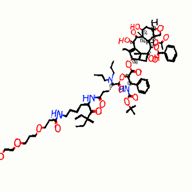 CCCN(CCC)[C@@H](CCC(=O)NC(CCCCNC(=O)CCOCCCOCCOC)C(=O)C(C)(CC)CC)C(=O)O[C@@H](C(=O)O[C@@H]1C(C)=C2[C@@H](O)C(=O)[C@@]3(C)[C@H]([C@H](OC(=O)c4ccccc4)[C@]4(O)CC1C24C)[C@]1(OC(C)=O)CO[C@@H]1C[C@@H]3O)[C@@H](NC(=O)OC(C)(C)C)c1ccccc1